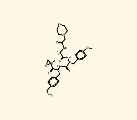 COc1ccc(C[C@H](NC(=O)[C@H](C)NC(=O)CN2CCOCC2)C(=O)N[C@@H](Cc2ccc(CN)cc2)C(=O)[C@@]2(C)CO2)cc1